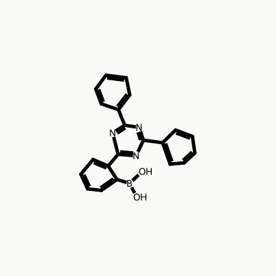 OB(O)c1ccccc1-c1nc(-c2ccccc2)nc(-c2ccccc2)n1